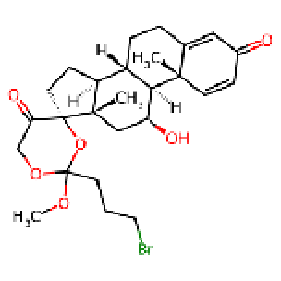 COC1(CCCBr)OCC(=O)[C@]2(CC[C@H]3[C@@H]4CCC5=CC(=O)C=C[C@]5(C)[C@H]4[C@@H](O)C[C@@]32C)O1